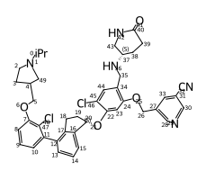 CC(C)N1CCC(COc2cccc(-c3cccc4c3CC[C@@H]4Oc3cc(OCc4cncc(C#N)c4)c(CN[C@H]4CCC(=O)NC4)cc3Cl)c2Cl)C1